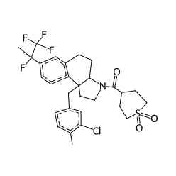 Cc1ccc(CC23CCN(C(=O)C4CCS(=O)(=O)CC4)C2CCc2cc(C(C)(F)C(F)(F)F)ccc23)cc1Cl